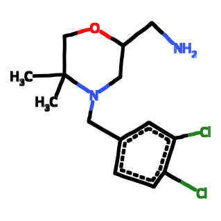 CC1(C)COC(CN)CN1Cc1ccc(Cl)c(Cl)c1